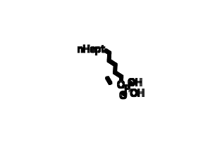 CC.CCCCCCCCCCCCOP(=O)(O)O